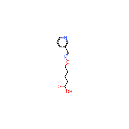 O=C(O)CCCCON=Cc1cccnc1